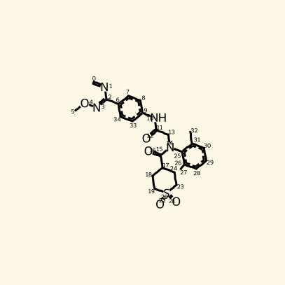 C=N/C(=N\OC)c1ccc(NC(=O)CN(C(=O)C2CCS(=O)(=O)CC2)c2c(C)cccc2C)cc1